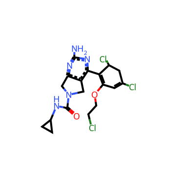 Nc1nc2c(c(C3=C(OCCCl)C=C(Cl)CC3Cl)n1)CN(C(=O)NC1CC1)C2